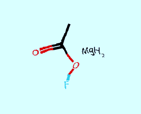 CC(=O)OF.[MgH2]